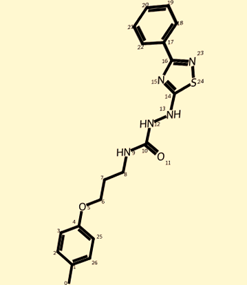 Cc1ccc(OCCCNC(=O)NNc2nc(-c3ccccc3)ns2)cc1